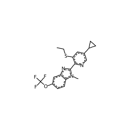 CCSc1cc(C2CC2)cnc1-c1nc2cc(OC(F)(F)F)ccc2n1C